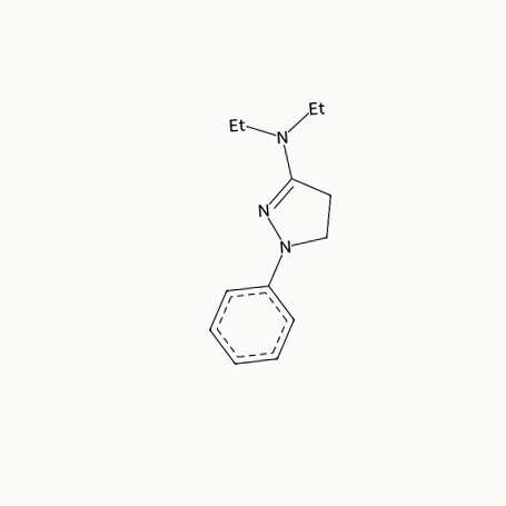 CCN(CC)C1=NN(c2ccccc2)CC1